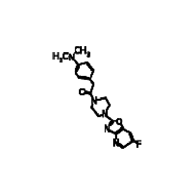 CN(C)c1ccc(CC(=O)N2CCN(c3nc4ncc(F)cc4o3)CC2)cc1